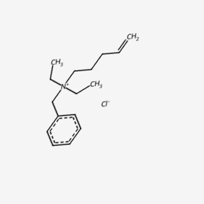 C=CCCC[N+](CC)(CC)Cc1ccccc1.[Cl-]